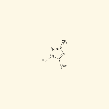 CSc1cc(C(F)(F)F)nn1C